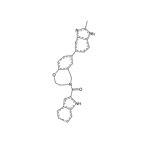 Cc1nc2cc(-c3ccc4c(c3)CN(C(=O)c3cc5ccccc5[nH]3)CCO4)ccc2[nH]1